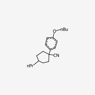 CCCCOc1ccc(C2(C#N)CCC(CCC)CC2)cc1